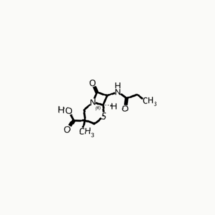 CCC(=O)NC1C(=O)N2CC(C)(C(=O)O)CS[C@H]12